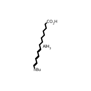 CCCCC=CC=CC=CCCCCCCCC(=O)O.[AlH3]